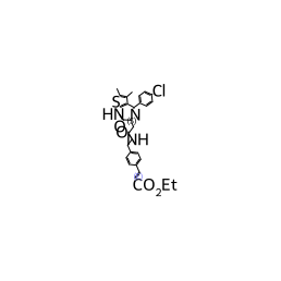 CCOC(=O)/C=C/c1ccc(CNC(=O)C[C@@H]2N=C(c3ccc(Cl)cc3)c3c(sc(C)c3C)NC2=O)cc1